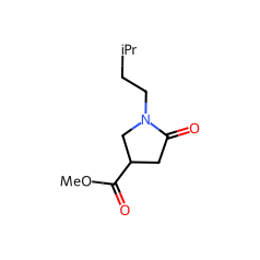 COC(=O)C1CC(=O)N(CCC(C)C)C1